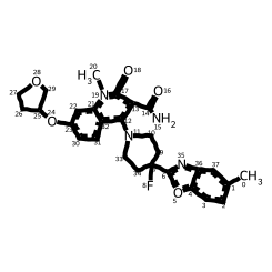 Cc1ccc2oc(C3(F)CCN(c4c(C(N)=O)c(=O)n(C)c5cc(OC6CCOC6)ccc45)CC3)nc2c1